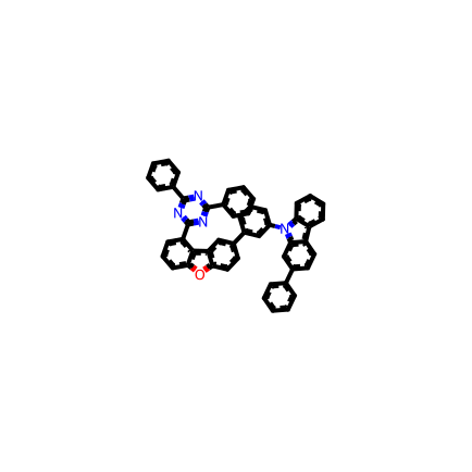 c1ccc(-c2ccc3c4ccccc4n(-c4cccc(-c5ccc6oc7cccc(-c8nc(-c9ccccc9)nc(-c9ccccc9)n8)c7c6c5)c4)c3c2)cc1